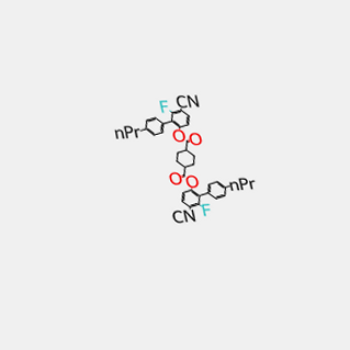 CCCc1ccc(-c2c(OC(=O)C3CCC(C(=O)Oc4ccc(C#N)c(F)c4-c4ccc(CCC)cc4)CC3)ccc(C#N)c2F)cc1